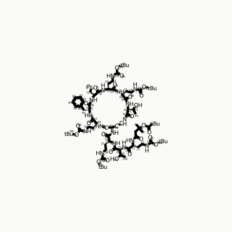 CCC(C)C(=O)OC(C)(C)CC(=O)N[C@@H](CCNC(=O)OC(C)(C)C)C(=O)N[C@H](C(=O)N[C@@H](CCNC(=O)OC(C)(C)C)C(=O)N[C@H]1CCNC(=O)[C@H](C(C)O)NC(=O)[C@H](CCNC(=O)OC(C)(C)C)NC(=O)[C@H](CCNC(=O)OC(C)(C)C)NC(=O)[C@H](CC(C)C)NC(=O)[C@@H](Cc2ccccc2)NC(=O)[C@H](CCNC(=O)OC(C)(C)C)NC1)C(C)O